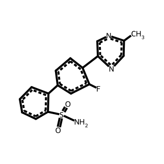 Cc1cnc(-c2ccc(-c3ccccc3S(N)(=O)=O)cc2F)cn1